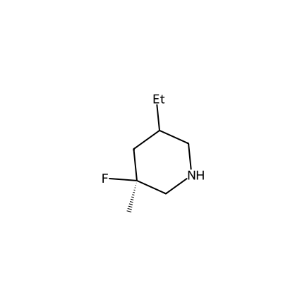 CCC1CNC[C@@](C)(F)C1